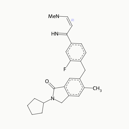 CN/C=C\C(=N)c1ccc(Cc2cc3c(cc2C)CN(C2CCCC2)C3=O)c(F)c1